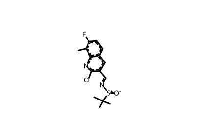 Cc1c(F)ccc2cc(C=N[S+]([O-])C(C)(C)C)c(Cl)nc12